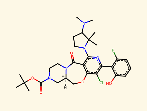 CN(C)C1CCN(c2nc(-c3c(O)cccc3F)c(Cl)c3c2C(=O)N2CCN(C(=O)OC(C)(C)C)C[C@@H]2CO3)C1(C)C